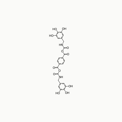 O=C(NCc1cc(O)c(O)c(O)c1)OC(=O)c1ccc(C(=O)OC(=O)NCc2cc(O)c(O)c(O)c2)cc1